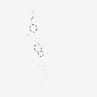 CC(C)(O)/C=C/c1cc(F)c2c(c1)C(F)(F)CC2Nc1nc2c(cc1Cl)nc(O[C@@H]1CO[C@H]3[C@@H]1OC[C@H]3O[Si](C)(C)C(C)(C)C)n2COCC[Si](C)(C)C